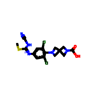 CS/C(=N/c1cc(Cl)c(N2CC3(CN(C(=O)O)C3)C2)c(Cl)c1)NC#N